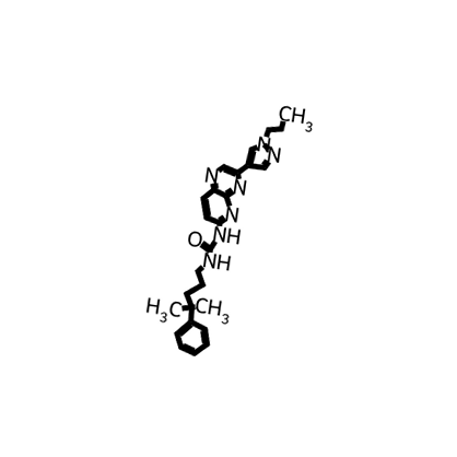 CCCn1cc(-c2cnc3ccc(NC(=O)NCCCC(C)(C)c4ccccc4)nc3n2)cn1